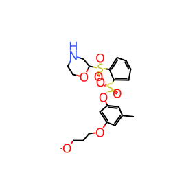 Cc1cc(OCCC[O])cc(OS(=O)(=O)c2ccccc2S(=O)(=O)C2CNCCO2)c1